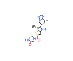 Cc1cc(-c2[nH]c3cc(C(=O)N4CCNC(=O)C4)sc3c2C(C)C)cn2ncnc12